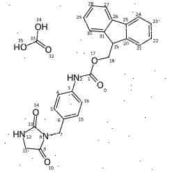 O=C(Nc1ccc(CN2C(=O)CNC2=O)cc1)OCC1c2ccccc2-c2ccccc21.O=C(O)O